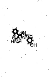 Cc1ccccc1-c1c2n(c3nc(N[C@H]4CC[C@H](O)CC4)ncc13)CCNC2=O